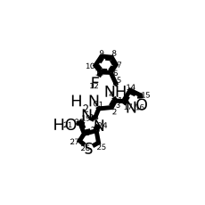 NC(/C=C(\NCc1ccccc1F)c1ccon1)c1nc(O)c2c(n1)CSC2